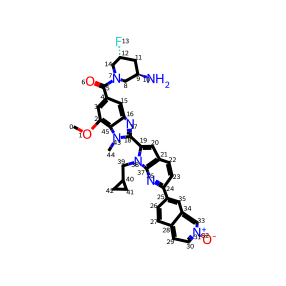 COc1cc(C(=O)N2C[C@H](N)C[C@@H](F)C2)cc2nc(-c3cc4ccc(-c5ccc6cc[n+]([O-])cc6c5)nc4n3CC3CC3)n(C)c12